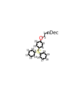 CCCCCCCCCCCCOc1ccc([S+](c2ccccc2)c2ccccc2)cc1